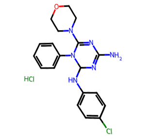 Cl.NC1=NC(Nc2ccc(Cl)cc2)N(c2ccccc2)C(N2CCOCC2)=N1